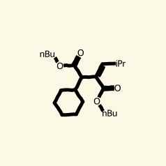 CCCCOC(=O)C(=CC(C)C)C(C(=O)OCCCC)C1CCCCC1